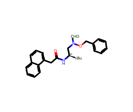 CCCC[C@H](CN(C=O)OCc1ccccc1)NC(=O)Cc1cccc2ccccc12